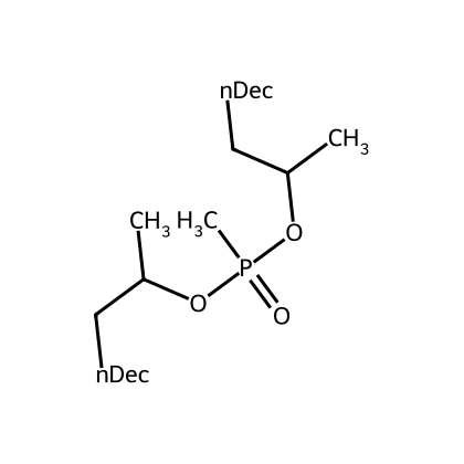 CCCCCCCCCCCC(C)OP(C)(=O)OC(C)CCCCCCCCCCC